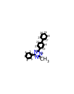 Cc1nc(-c2ccccc2)nc(-c2ccc(C3=CCCC=C3)cc2)n1